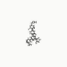 Cc1cc(CO)cnc1N1CCN(c2cc(-c3ccnc(C(C)C)c3)nc(N3CCCC3C)n2)[C@H](C)C1